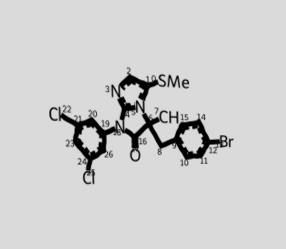 CSc1cnc2n1C(C)(Cc1ccc(Br)cc1)C(=O)N2c1cc(Cl)cc(Cl)c1